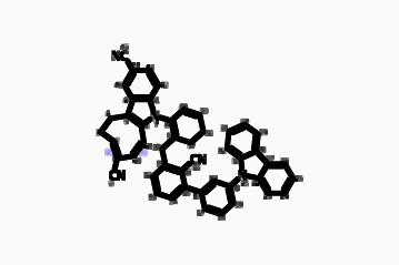 N#CC1=C\CCc2c(n(C3=C(Cc4cccc(-c5cccc(-n6c7ccccc7c7ccccc76)c5)c4C#N)CCC=C3)c3ccc(C#N)cc23)/C=C\1